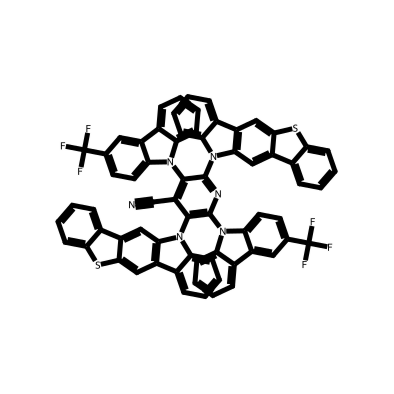 N#Cc1c(-n2c3ccccc3c3cc(C(F)(F)F)ccc32)c(-n2c3ccccc3c3cc4sc5ccccc5c4cc32)nc(-n2c3ccccc3c3cc(C(F)(F)F)ccc32)c1-n1c2ccccc2c2cc3sc4ccccc4c3cc21